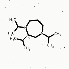 CC(C)[C@H]1CN(C(C)C)CCCN1C(C)C